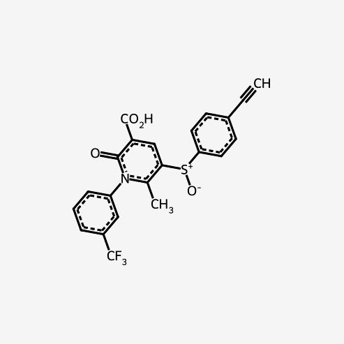 C#Cc1ccc([S+]([O-])c2cc(C(=O)O)c(=O)n(-c3cccc(C(F)(F)F)c3)c2C)cc1